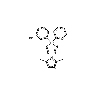 C1=NN=N[N+]1(c1ccccc1)c1ccccc1.Cc1csc(C)n1.[Br-]